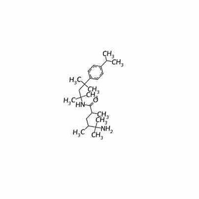 CC(CC(C)C(C)(C)N)C(=O)NC(C)(C)CC(C)(C)c1ccc(C(C)C)cc1